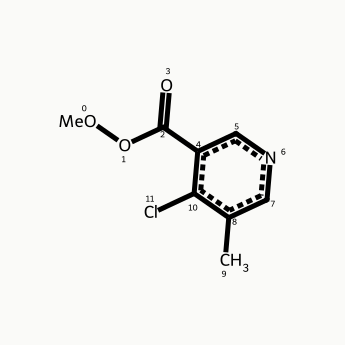 COOC(=O)c1cncc(C)c1Cl